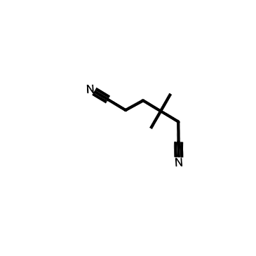 CC(C)(CC#N)CCC#N